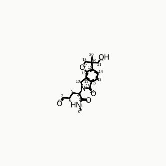 CNC(=O)C(CCC=O)N1Cc2c(ccc3c2OCC3(C)CO)C1=O